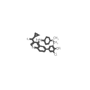 CN(C)C1CCC(Nc2c(C(=O)C3CC3)cnc3ccc(-c4cc(F)c(O)c(Cl)c4)cc23)CC1